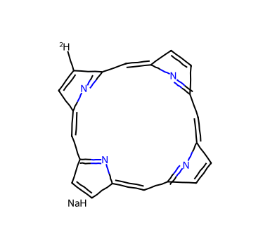 [2H]C1=CC2=CC3=NC(=CC4=NC(=CC5=NC(=CC1=N2)C=C5)C=C4)C=C3.[NaH]